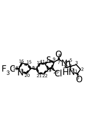 O=C1CCC2(CN(C(=O)c3sc4cc(-c5ccc(C(F)(F)F)nc5)ccc4c3Cl)C2)N1